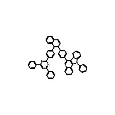 c1ccc(-c2cc(-c3ccccc3)nc(-c3ccc(-c4c(-c5ccc(-c6nc7ccccc7c7c6c6ccccc6n7-c6ccccc6)cc5)ccc5ccccc45)cc3)n2)cc1